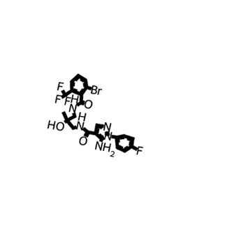 CC(O)(CNC(=O)c1cnn(-c2ccc(F)cc2)c1N)CNC(=O)c1c(Br)cccc1C(F)(F)F